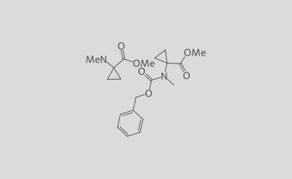 CNC1(C(=O)OC)CC1.COC(=O)C1(N(C)C(=O)OCc2ccccc2)CC1